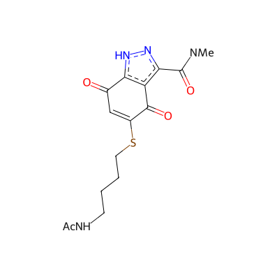 CNC(=O)c1n[nH]c2c1C(=O)C(SCCCCNC(C)=O)=CC2=O